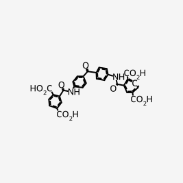 O=C(O)c1ccc(C(=O)O)c(C(=O)Nc2ccc(C(=O)c3ccc(NC(=O)c4cc(C(=O)O)ccc4C(=O)O)cc3)cc2)c1